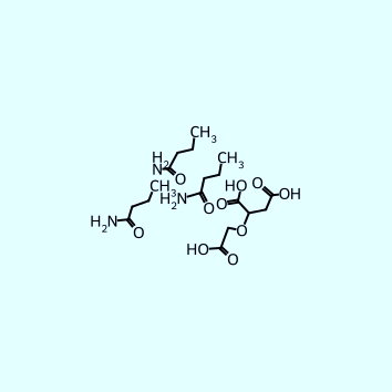 CCCC(N)=O.CCCC(N)=O.CCCC(N)=O.O=C(O)COC(CC(=O)O)C(=O)O